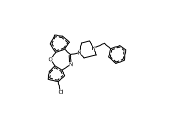 Clc1ccc2c(c1)N=C(N1CCN(Cc3ccccc3)CC1)c1ccccc1O2